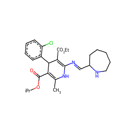 CCOC(=O)C1=C(N=CC2CCCCCN2)NC(C)=C(C(=O)OC(C)C)C1c1ccccc1Cl